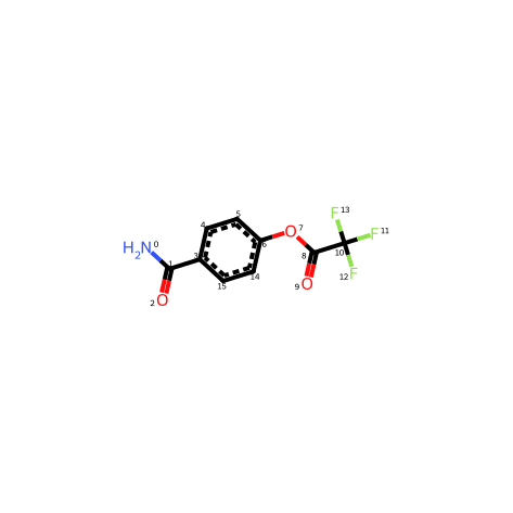 NC(=O)c1ccc(OC(=O)C(F)(F)F)cc1